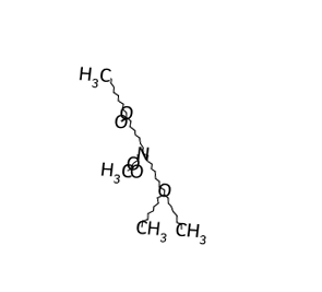 CCCCCCCCCOC(=O)CCCCCCCN(CCCCCCCCOC(CCCCCCCC)CCCCCCCC)CCOC(C)=O